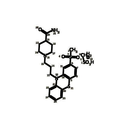 CS(=O)(=O)O.CS(=O)(=O)c1ccc2c(c1)N(CCCN1CCC(C(N)=O)CC1)c1ccccc1S2.O